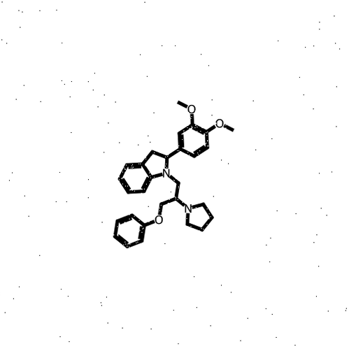 COc1ccc(C2Cc3ccccc3N2CC(COc2ccccc2)N2CCCC2)cc1OC